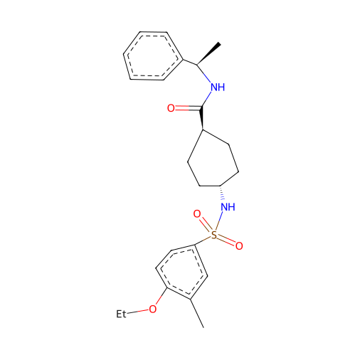 CCOc1ccc(S(=O)(=O)N[C@H]2CC[C@H](C(=O)N[C@H](C)c3ccccc3)CC2)cc1C